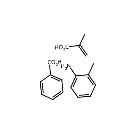 C=C(C)C(=O)O.Cc1ccccc1N.O=C(O)c1ccccc1